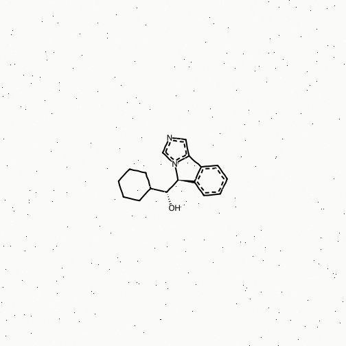 O[C@H](C1CCCCC1)[C@@H]1c2ccccc2-c2cncn21